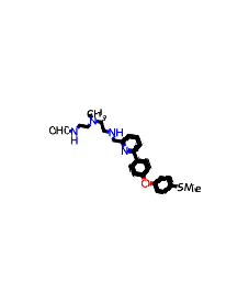 CSc1ccc(Oc2ccc(-c3cccc(CNCCN(C)CCNC=O)n3)cc2)cc1